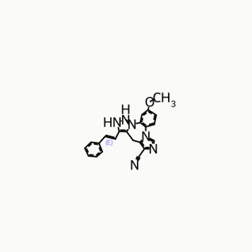 COc1ccc2c(c1)N1NNC(/C=C/c3ccccc3)=C1Cc1c(C#N)ncn1-2